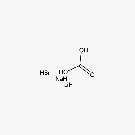 Br.O=C(O)O.[LiH].[NaH]